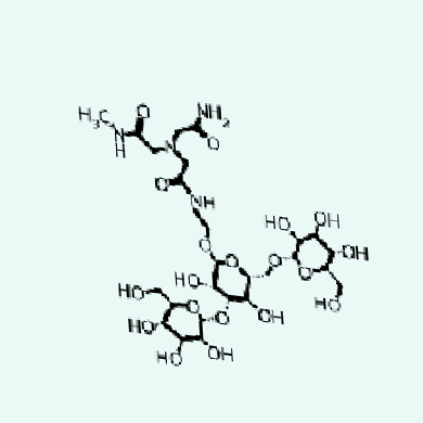 CNC(=O)CN(CC(N)=O)CC(=O)NCCO[C@H]1O[C@H](CO[C@H]2O[C@H](CO)[C@@H](O)[C@H](O)[C@@H]2O)[C@@H](O)[C@H](O[C@H]2O[C@H](CO)[C@@H](O)[C@H](O)[C@@H]2O)[C@@H]1O